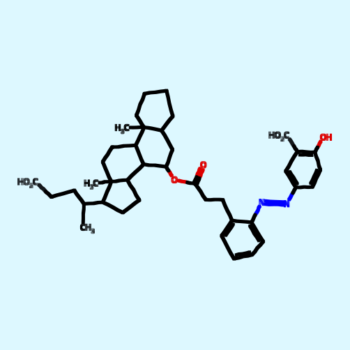 CC(CCC(=O)O)C1CCC2C3C(OC(=O)CCc4ccccc4/N=N/c4ccc(O)c(C(=O)O)c4)CC4CCCCC4(C)C3CCC12C